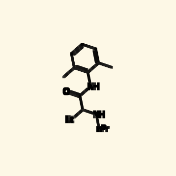 CCCNC(CC)C(=O)Nc1c(C)cccc1C